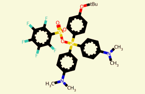 CN(C)c1ccc(S(OS(=O)(=O)c2c(F)c(F)c(F)c(F)c2F)(c2ccc(OC(C)(C)C)cc2)c2ccc(N(C)C)cc2)cc1